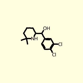 CC1(C)CCCC(C(O)c2ccc(Cl)c(Cl)c2)N1